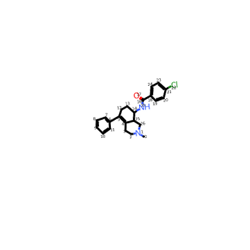 CN1CCC2=C(c3ccccc3)CCC(NC(=O)c3ccc(Cl)cc3)C2C1